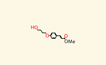 COC(=O)C=Cc1ccc(OCCCCO)cc1